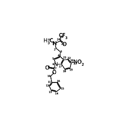 CN(CCc1cn(C(=O)OCc2ccccc2)c2ccc([N+](=O)[O-])cc12)C(=O)C(F)(F)F